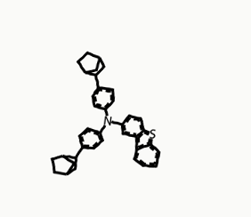 c1ccc2c(c1)sc1ccc(N(c3ccc(C4CC5CCC4C5)cc3)c3ccc(C4CC5CCC4C5)cc3)cc12